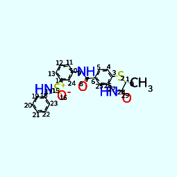 C[C@H]1Sc2ccc(C(=O)Nc3cccc([S+]([O-])Nc4ccccc4)c3)cc2NC1=O